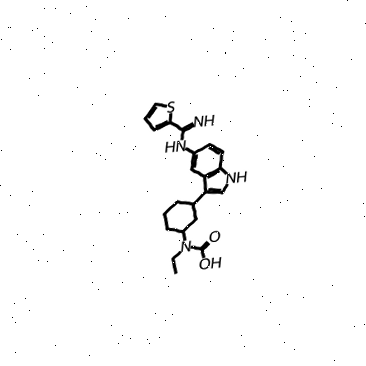 CCN(C(=O)O)C1CCCC(c2c[nH]c3ccc(NC(=N)c4cccs4)cc23)C1